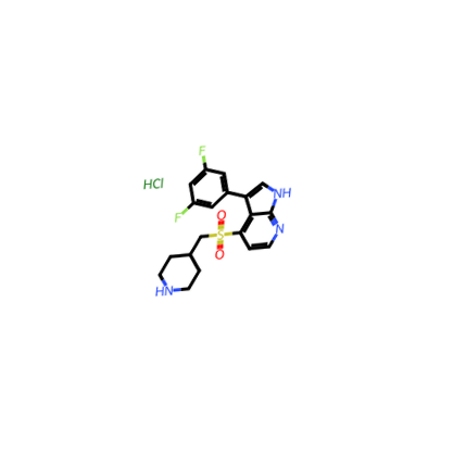 Cl.O=S(=O)(CC1CCNCC1)c1ccnc2[nH]cc(-c3cc(F)cc(F)c3)c12